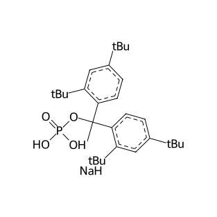 CC(C)(C)c1ccc(C(C)(OP(=O)(O)O)c2ccc(C(C)(C)C)cc2C(C)(C)C)c(C(C)(C)C)c1.[NaH]